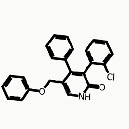 O=c1[nH]cc(COc2ccccc2)c(-c2ccccc2)c1-c1ccccc1Cl